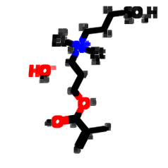 C=C(C)C(=O)OCCC[N+](CC)(CC)CCCS(=O)(=O)O.[OH-]